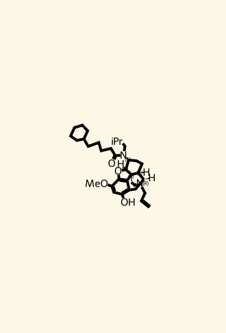 C=CCN1CC[C@]23c4c5c(O)cc(OC)c4O[C@H]2[C@@H](N(CC(C)C)C(=O)CCCCC2CCCCC2)CC[C@H]3[C@H]1C5